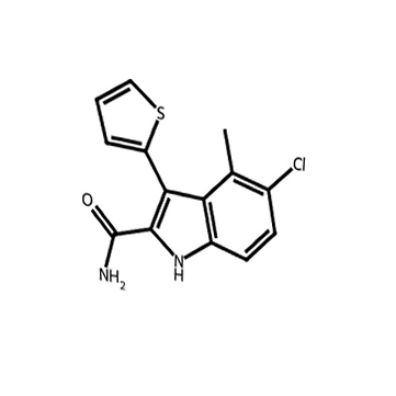 Cc1c(Cl)ccc2[nH]c(C(N)=O)c(-c3cccs3)c12